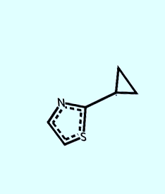 c1csc([C]2CC2)n1